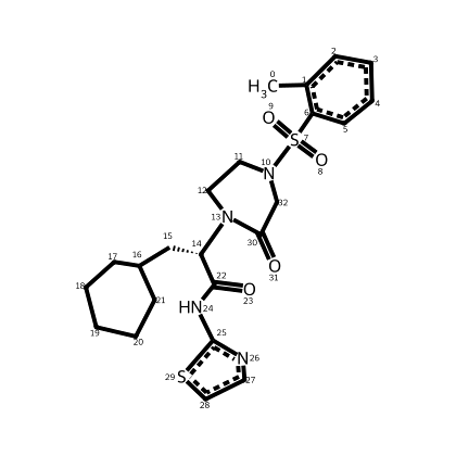 Cc1ccccc1S(=O)(=O)N1CCN([C@@H](CC2CCCCC2)C(=O)Nc2nccs2)C(=O)C1